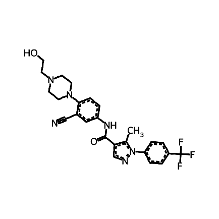 Cc1c(C(=O)Nc2ccc(N3CCN(CCO)CC3)c(C#N)c2)cnn1-c1ccc(C(F)(F)F)cc1